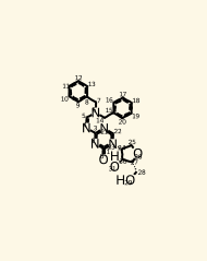 O=c1nc(/N=C\N(Cc2ccccc2)Cc2ccccc2)ncn1[C@@H]1CO[C@H](CO)[C@H]1O